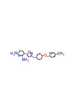 Cc1ccc(COc2ccc(Cc3cc(-c4ccc(N)nc4N)on3)cc2)nc1